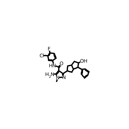 Cn1nc(C2CC3CC(O)C(c4ccccc4)C3C2)c(C(=O)Nc2ccc(F)c(Cl)c2)c1N